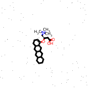 C[N+](C)(C)C[C@@H](CC(=O)O)OC1=CCCC2CC3CC4CCCCC4CC3CC12